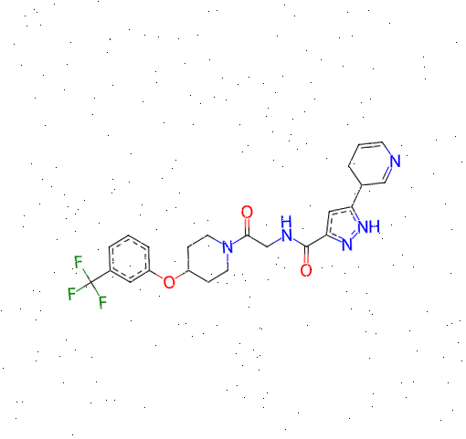 O=C(NCC(=O)N1CCC(Oc2cccc(C(F)(F)F)c2)CC1)c1cc(C2C=NC=CC2)[nH]n1